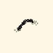 CC(C)c1noc(N2CCC(Oc3nn4cc(COc5ccc(S(C)(=O)=O)cc5)nc4s3)CC2)n1